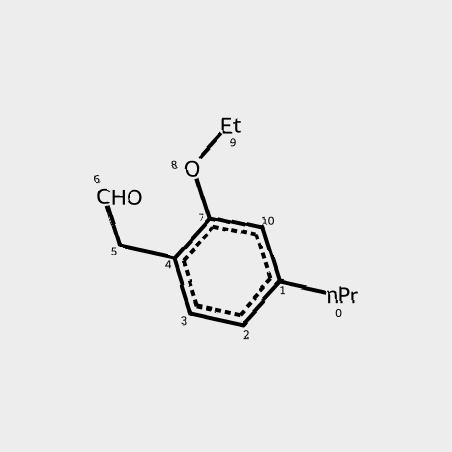 CCCc1ccc(CC=O)c(OCC)c1